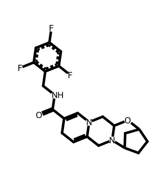 O=C(NCc1c(F)cc(F)cc1F)C1=CN2CC3OC4CCC(C4)N3CC2=CC1